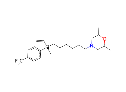 C=C[Si](C)(CCCCCCN1CC(C)OC(C)C1)c1ccc(C(F)(F)F)cc1